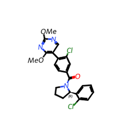 COc1ncc(-c2ccc(C(=O)N3CCC[C@@H]3c3ccccc3Cl)cc2Cl)c(OC)n1